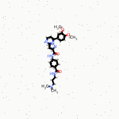 COc1ccc(-c2ccnc3cc(C(=O)Nc4ccc(C(=O)NCCCN(C)C)cc4)nn23)cc1OC